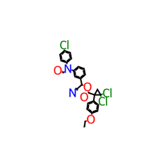 CCOc1ccc(C2(C(=O)OC(C#N)c3cccc(N(C=O)c4ccc(Cl)cc4)c3)CC2(Cl)Cl)cc1